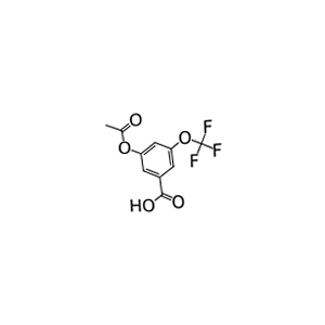 CC(=O)Oc1cc(OC(F)(F)F)cc(C(=O)O)c1